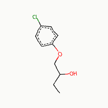 CCC(O)COc1ccc(Cl)cc1